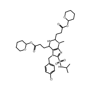 CC(C)NS(=O)(=O)c1nc2c(n1Cc1ccc(Cl)cc1)C(CCC(=O)OC1CCCCO1)NC(CCC(=O)OC1CCCCO1)N2C